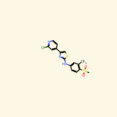 CS(=O)(=O)c1ccc(Nc2nc(-c3ccnc(Cl)c3)cs2)cc1C(F)(F)F